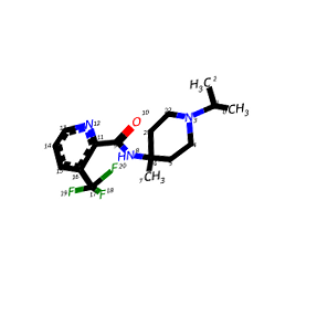 CC(C)N1CCC(C)(NC(=O)c2ncccc2C(F)(F)F)CC1